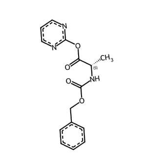 C[C@H](NC(=O)OCc1ccccc1)C(=O)Oc1ncccn1